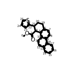 COC(=O)C1c2c(ccc3c2ccc2ccccc23)CCC1c1cccs1